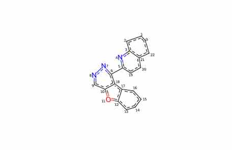 c1ccc2nc(-c3nncc4oc5ccccc5c34)ccc2c1